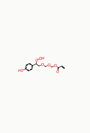 C=CC(=O)OCOCOCC(OO)c1ccc(O)cc1